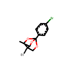 CCC12COC(c3ccc(Br)cc3)(OC1)OC2C